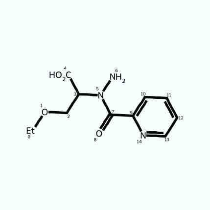 CCOCC(C(=O)O)N(N)C(=O)c1ccccn1